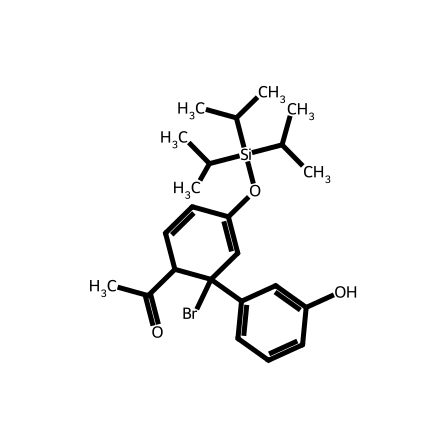 CC(=O)C1C=CC(O[Si](C(C)C)(C(C)C)C(C)C)=CC1(Br)c1cccc(O)c1